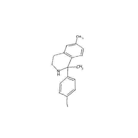 Cc1ccc2c(c1)CCNC2(C)c1ccc(I)cc1